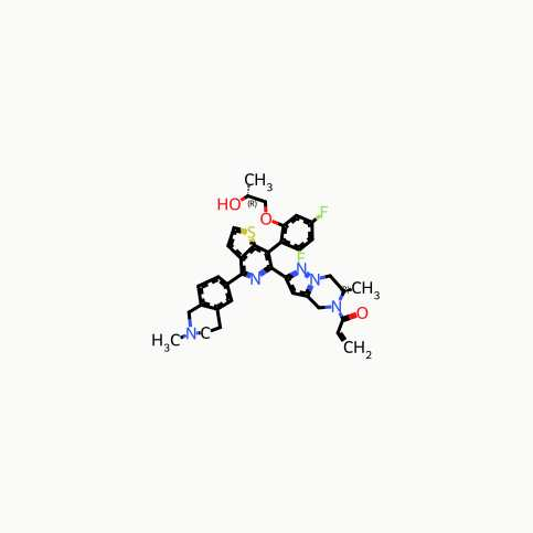 C=CC(=O)N1Cc2cc(-c3nc(-c4ccc5c(c4)CCN(C)C5)c4ccsc4c3-c3c(F)cc(F)cc3OC[C@@H](C)O)nn2C[C@H]1C